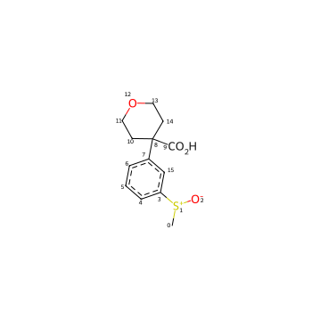 C[S+]([O-])c1cccc(C2(C(=O)O)CCOCC2)c1